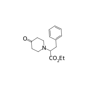 CCOC(=O)C(Cc1ccccc1)N1CCC(=O)CC1